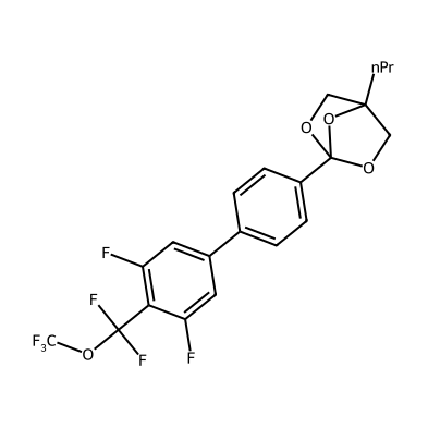 CCCC12COC(c3ccc(-c4cc(F)c(C(F)(F)OC(F)(F)F)c(F)c4)cc3)(OC1)O2